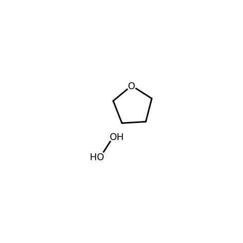 C1CCOC1.OO